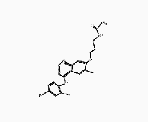 CC(=O)NCCCOc1cc2ncnc(Nc3ccc(Br)cc3F)c2cc1N